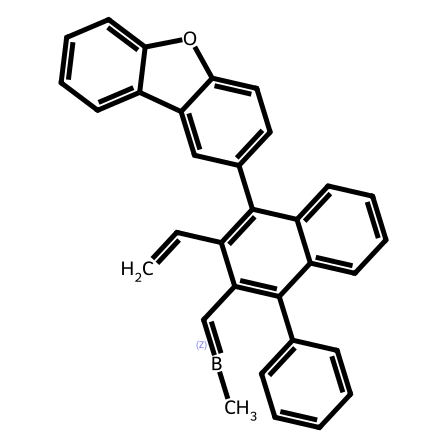 C=Cc1c(/C=B\C)c(-c2ccccc2)c2ccccc2c1-c1ccc2oc3ccccc3c2c1